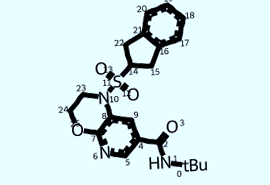 CC(C)(C)NC(=O)c1cnc2c(c1)N(S(=O)(=O)C1Cc3ccccc3C1)CCO2